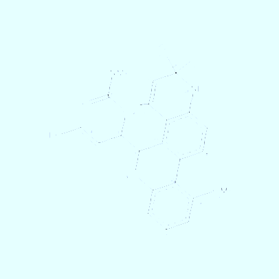 C/C=C/C(OC(=O)NC)C1Oc2cccc(OC)c2-c2ccc3c(c21)C(C)=CC(C)(C)N3